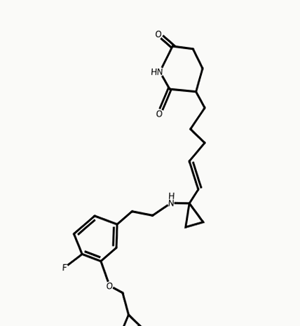 O=C1CCC(CCC/C=C/C2(NCCc3ccc(F)c(OCC4CC4)c3)CC2)C(=O)N1